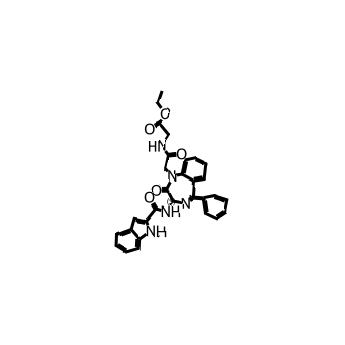 CCOC(=O)CNC(=O)CN1C(=O)[C@@H](NC(=O)c2cc3ccccc3[nH]2)N=C(c2ccccc2)c2ccccc21